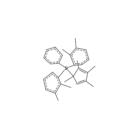 CC1=[C]C(C)([Si](c2ccccc2)(c2cccc(C)c2C)c2cccc(C)c2C)C(C)=C1C